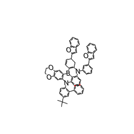 Cc1cc2c3c(c1)N(c1ccc(C(C)(C)C)cc1-c1ccccc1)c1cc4c(cc1B3C1=C(CC(c3cc5ccccc5o3)C=C1)N2c1cccc(-c2cc3ccccc3o2)c1)OCCO4